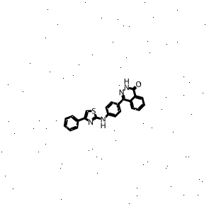 O=c1[nH]nc(-c2ccc(Nc3nc(-c4ccccc4)cs3)cc2)c2ccccc12